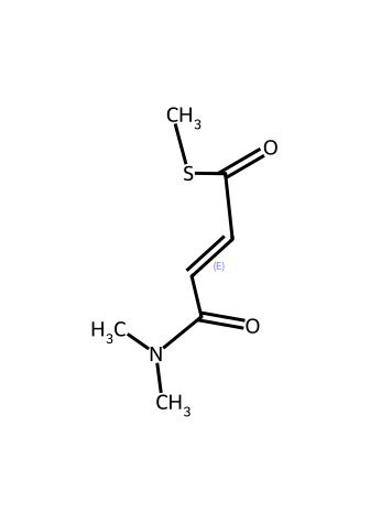 CSC(=O)/C=C/C(=O)N(C)C